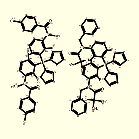 CCCC(C)(C)C(=O)N(Cc1ccccc1)c1ccc(F)[c]([Ti]([C]2=CC=CC2)([C]2=CC=CC2)[c]2c(F)ccc(N(Cc3ccccc3)C(=O)C(C)(C)CCC)c2F)c1F.CCCCN(C(=O)c1ccc(Cl)cc1)c1ccc(F)[c]([Ti]([C]2=CC=CC2)([C]2=CC=CC2)[c]2c(F)ccc(N(CCCC)C(=O)c3ccc(Cl)cc3)c2F)c1F